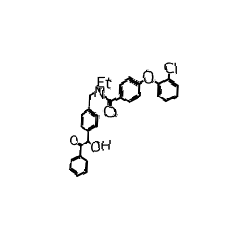 CCN(Cc1ccc(C(O)C(=O)c2ccccc2)cc1)C(=O)c1ccc(Oc2ccccc2Cl)cc1